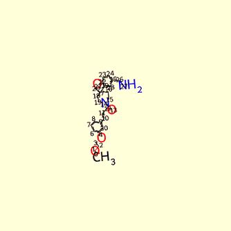 COCCOc1cccc(C=CC(=O)N2CCC3(CC2)COc2ccc(CN)cc23)c1